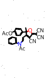 CC(=O)Oc1ccc(C2(C)OC(=C(C#N)C#N)C(C#N)=C2C=CN(C(C)=O)c2ccccc2)cc1